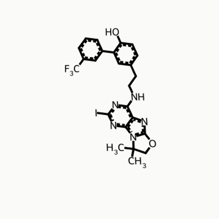 CC1(C)COc2nc3c(NCCc4ccc(O)c(-c5cccc(C(F)(F)F)c5)c4)nc(I)nc3n21